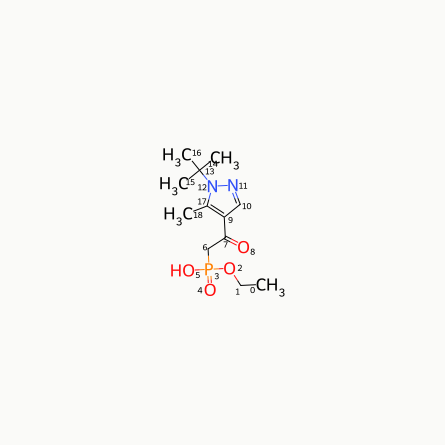 CCOP(=O)(O)CC(=O)c1cnn(C(C)(C)C)c1C